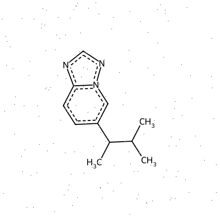 CC(C)C(C)c1ccc2ncnn2c1